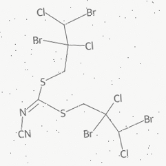 N#CN=C(SCC(Cl)(Br)C(Cl)Br)SCC(Cl)(Br)C(Cl)Br